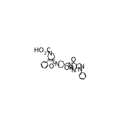 O=C(O)N1CC[C@@H](C(=O)N2CCC(O)(Cn3cnc4c(cnn4-c4ccccc4)c3=O)CC2)[C@H](c2ccccc2)C1